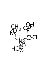 Cc1cnc(C2CCC(N3C[C@H](C(=O)O)OC[C@@H]3Cc3ccc(Cl)cc3)CC2)o1.O=C(O)C(F)(F)F